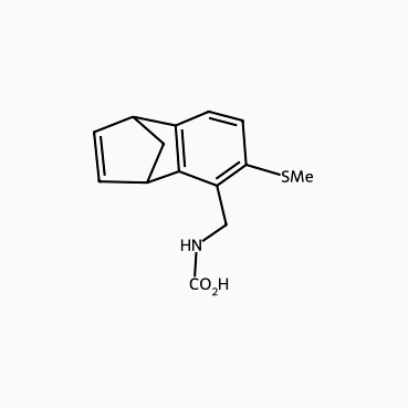 CSc1ccc2c(c1CNC(=O)O)C1C=CC2C1